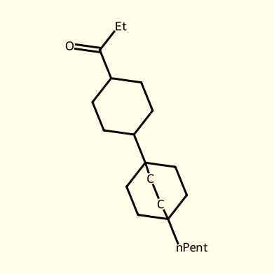 CCCCCC12CCC(C3CCC(C(=O)CC)CC3)(CC1)CC2